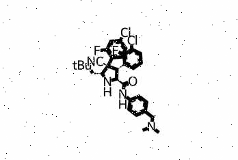 CN(C)Cc1ccc(NC(=O)[C@H]2N[C@H](CC(C)(C)C)[C@@](C#N)(c3ccc(Cl)cc3F)[C@@H]2c2cccc(Cl)c2F)cc1